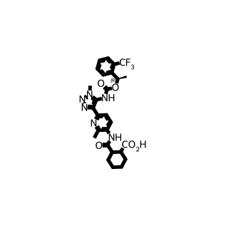 Cc1nc(-c2nnn(C)c2NC(=O)O[C@H](C)c2ccccc2C(F)(F)F)ccc1NC(=O)C1CCCCC1C(=O)O